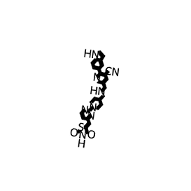 N#Cc1cc(CNCC2CCN(c3nccc(/C=C4\SC(=O)NC4=O)n3)CC2)cnc1-c1ccc2[nH]ccc2c1